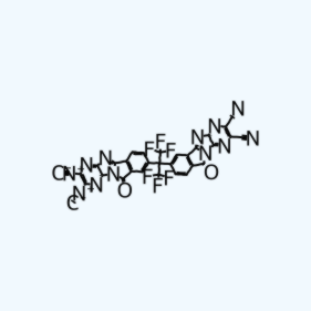 [C-]#[N+]c1nc2nc3n(c2nc1[N+]#[C-])C(=O)c1cc(C(c2ccc4c(c2)-c2nc5nc(C#N)c(C#N)nc5n2C4=O)(C(F)(F)F)C(F)(F)F)ccc1-3